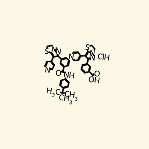 CC(C)(C)c1ccc(NC(=O)c2cccc(-c3nn4c(c3-c3ccncc3)SCC4)c2)cc1.Cl.O=C(O)c1cccc(-c2nn3c(c2-c2ccncc2)SCC3)c1